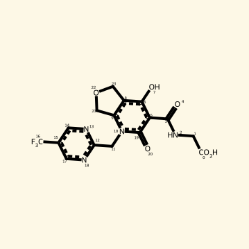 O=C(O)CNC(=O)c1c(O)c2c(n(Cc3ncc(C(F)(F)F)cn3)c1=O)COC2